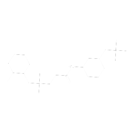 CC1CCCCC1CC(C)(C)CCC(=O)NC1CCCC(CC(C)(C)C)C1